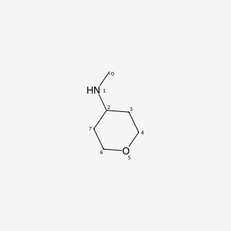 [CH2]NC1CCOCC1